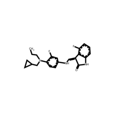 CCCN(CC1CC1)c1ccc(NC=C2C(=O)Nc3cccc(F)c32)cc1F